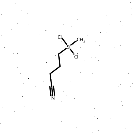 C[Si](Cl)(Cl)CCCC#N